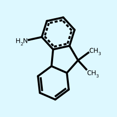 CC1(C)c2cccc(N)c2C2C=CC=CC21